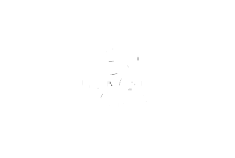 CCC(C)(C)C(=O)OC(C)C(C)C(c1ccc(OC(=O)CC(C)C)c(OC(=O)CC(C)C)c1)[C@H](N)C(=O)O